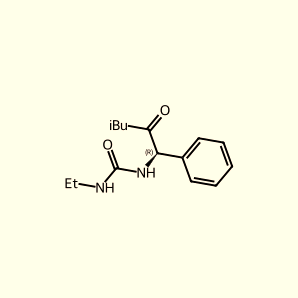 CCNC(=O)N[C@@H](C(=O)C(C)CC)c1ccccc1